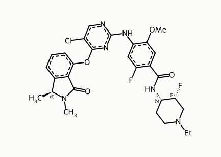 CCN1CC[C@H](NC(=O)c2cc(OC)c(Nc3ncc(Cl)c(Oc4cccc5c4C(=O)N(C)[C@H]5C)n3)cc2F)[C@H](F)C1